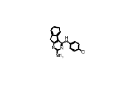 Nc1nc2c(c(Nc3ccc(Cl)cc3)n1)-c1ccccc1C2